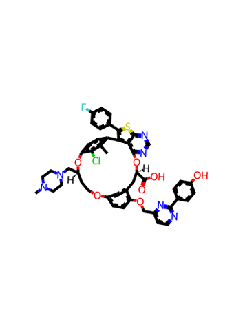 Cc1c2ccc(c1Cl)O[C@H](CN1CCN(C)CC1)CCOc1ccc(OCc3ccnc(-c4ccc(O)cc4)n3)c(c1)C[C@H](C(=O)O)Oc1ncnc3sc(-c4ccc(F)cc4)c-2c13